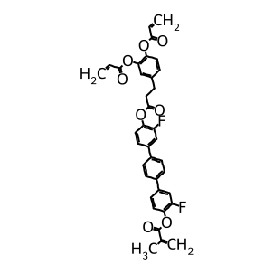 C=CC(=O)Oc1ccc(CCC(=O)Oc2ccc(-c3ccc(-c4ccc(OC(=O)C(=C)C)c(F)c4)cc3)cc2F)cc1OC(=O)C=C